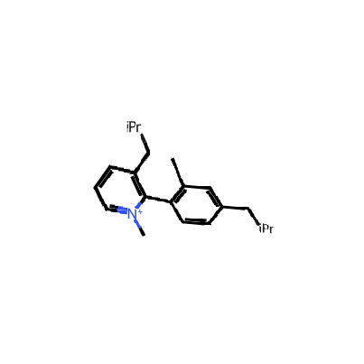 Cc1cc(CC(C)C)ccc1-c1c(CC(C)C)ccc[n+]1C